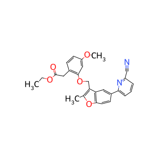 CCOC(=O)Cc1ccc(OC)cc1OCc1c(C)oc2ccc(-c3cccc(C#N)n3)cc12